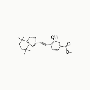 COC(=O)c1ccc(C#Cc2ccc3c(c2)C(C)(C)CCC3(C)C)c(O)c1